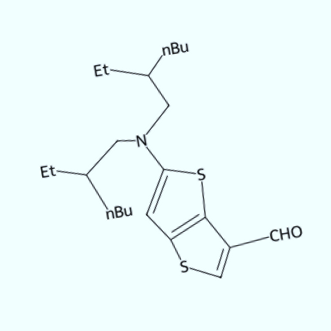 CCCCC(CC)CN(CC(CC)CCCC)c1cc2scc(C=O)c2s1